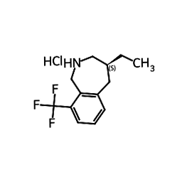 CC[C@@H]1CNCc2c(cccc2C(F)(F)F)C1.Cl